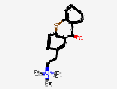 CC[N+](CC)(CC)CCc1ccc2sc3c(c(=O)c2c1)=CCCC=3